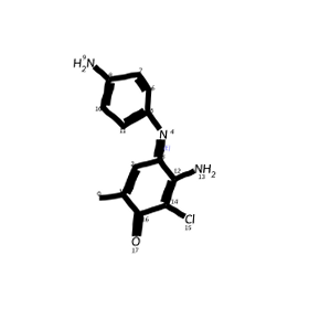 CC1=C/C(=N\c2ccc(N)cc2)C(N)=C(Cl)C1=O